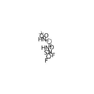 CC(C)(C)OC(=O)N[C@@H]1CCC[C@H](C(=O)Nc2nc3c(F)cc(F)cc3s2)C1